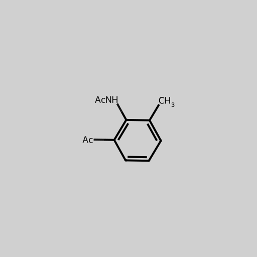 CC(=O)Nc1c(C)cccc1C(C)=O